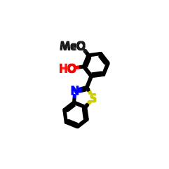 COc1cccc(-c2nc3ccccc3s2)c1O